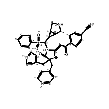 N#Cc1ccc(C(=O)/C=C2\NC(Cc3ccncc3)(Cc3ccncc3)C(=O)N2C(C2C3CNCC32)S(=O)(=O)c2ccccc2)cc1